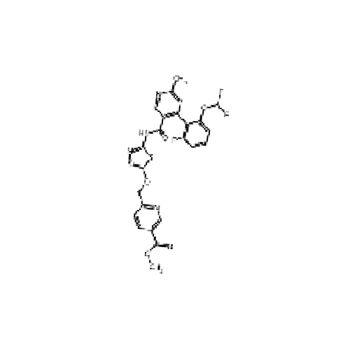 COC(=O)c1ccc(COc2nnc(NC(=O)c3cnc(C)cc3-c3c(F)cccc3OC(F)F)s2)nc1